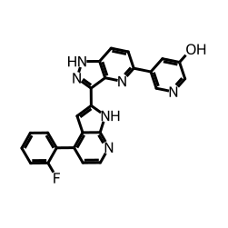 Oc1cncc(-c2ccc3[nH]nc(-c4cc5c(-c6ccccc6F)ccnc5[nH]4)c3n2)c1